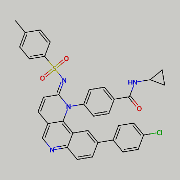 Cc1ccc(S(=O)(=O)/N=c2\ccc3cnc4ccc(-c5ccc(Cl)cc5)cc4c3n2-c2ccc(C(=O)NC3CC3)cc2)cc1